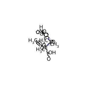 C/C(=C\c1ccc(S(=O)(=O)NC2CCCC2)cc1F)[C@@H](C=O)[C@@H](C)/C=C/[C@H](OC(=O)N1CCN(C)CC1)[C@@H](C)CC[C@@H](O)CC=O